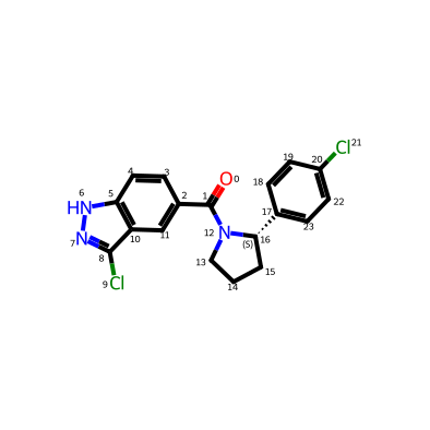 O=C(c1ccc2[nH]nc(Cl)c2c1)N1CCC[C@H]1c1ccc(Cl)cc1